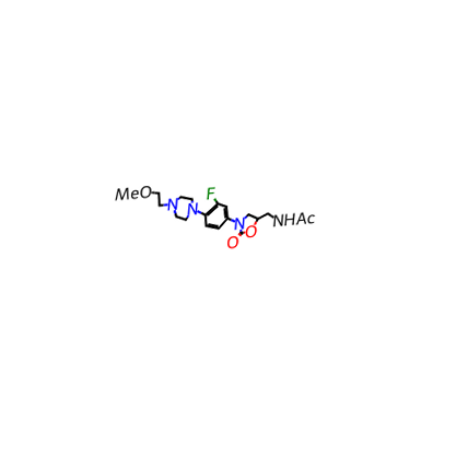 COCCN1CCN(c2ccc(N3CC(CNC(C)=O)OC3=O)cc2F)CC1